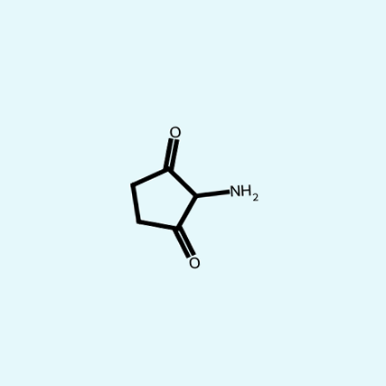 NC1C(=O)CCC1=O